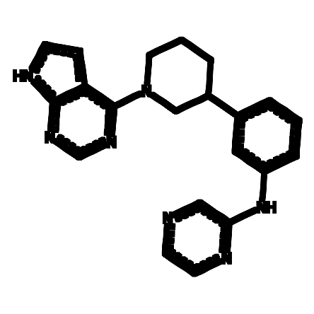 c1cc(Nc2cnccn2)cc(C2CCCN(c3ncnc4[nH]ccc34)C2)c1